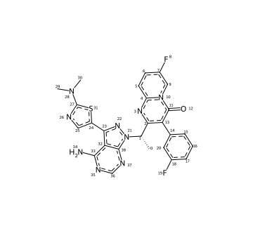 C[C@@H](c1nc2ccc(F)cn2c(=O)c1-c1cccc(F)c1)n1nc(-c2cnc(N(C)C)s2)c2c(N)ncnc21